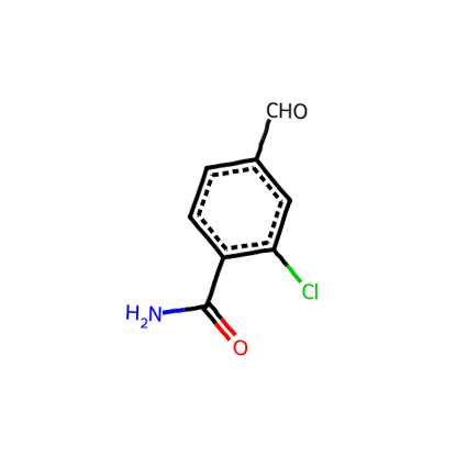 NC(=O)c1ccc(C=O)cc1Cl